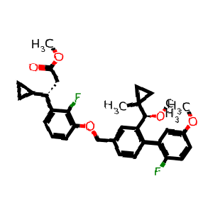 COC(=O)C[C@H](c1cccc(OCc2ccc(-c3cc(OC)ccc3F)c([C@H](OC)C3(C)CC3)c2)c1F)C1CC1